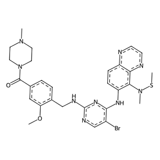 COc1cc(C(=O)N2CCN(C)CC2)ccc1CNc1ncc(Br)c(Nc2ccc3nccnc3c2N(C)SC)n1